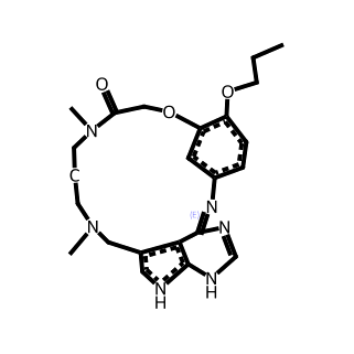 CCCOc1ccc2cc1OCC(=O)N(C)CCCN(C)Cc1c[nH]c3c1/C(=N\2)N=CN3